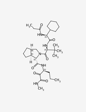 CCC[C@H](NC(=O)[C@@H]1[C@H]2CCC[C@H]2CN1C(=O)[C@@H](NC(=O)[C@@H](NC(=O)CC)C1CCCCC1)C(C)(C)C)C(=O)C(=O)NC